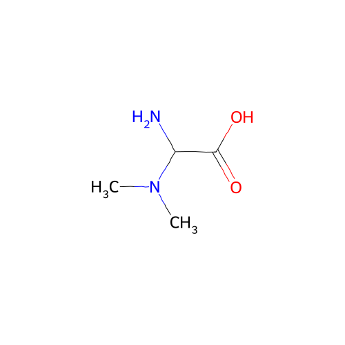 CN(C)C(N)C(=O)O